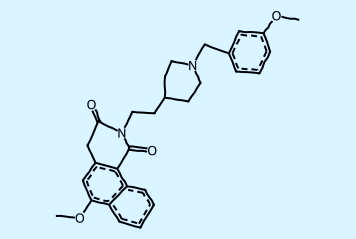 COc1cccc(CN2CCC(CCN3C(=O)Cc4cc(OC)c5ccccc5c4C3=O)CC2)c1